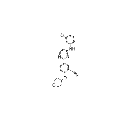 COc1cccc(Nc2ccnc(-c3ccc(OC4CCOCC4)c(C#N)c3)n2)c1